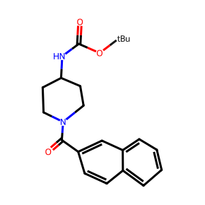 CC(C)(C)OC(=O)NC1CCN(C(=O)c2ccc3ccccc3c2)CC1